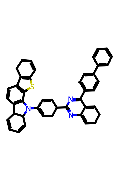 C1=CC2c3ccc4c5c(sc4c3N(C3=CCC(c4nc(-c6ccc(-c7ccccc7)cc6)c6c(n4)=CCCC=6)C=C3)C2C=C1)C=CCC5